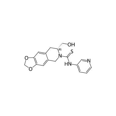 OC[C@H]1Cc2cc3c(cc2CN1C(=S)Nc1cccnc1)OCO3